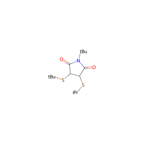 CC(C)SC1C(=O)N(C(C)(C)C)C(=O)C1SC(C)(C)C